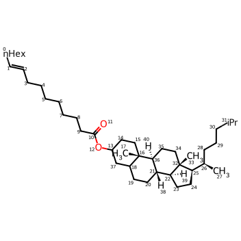 CCCCCCC=CCCCCCCCC(=O)OC1CC[C@@]2(C)C(CC[C@H]3[C@@H]4CC[C@H]([C@H](C)CCCC(C)C)[C@@]4(C)CC[C@@H]32)C1